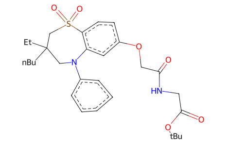 CCCCC1(CC)CN(c2ccccc2)c2cc(OCC(=O)NCC(=O)OC(C)(C)C)ccc2S(=O)(=O)C1